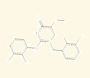 COc1cn(Cc2cccc(F)c2F)c(Nc2cccc(Cl)c2C)nc1=O